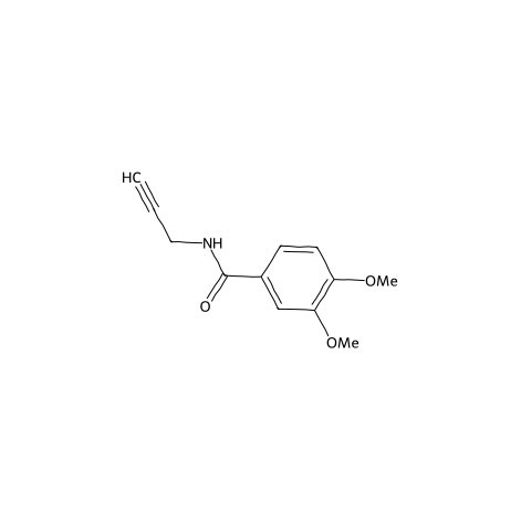 C#CCNC(=O)c1ccc(OC)c(OC)c1